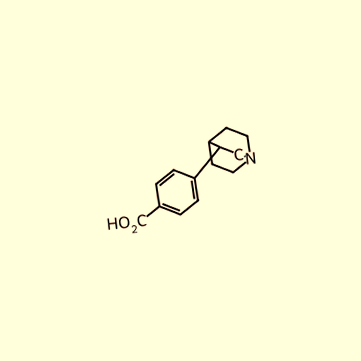 O=C(O)c1ccc(C2CN3CCC2CC3)cc1